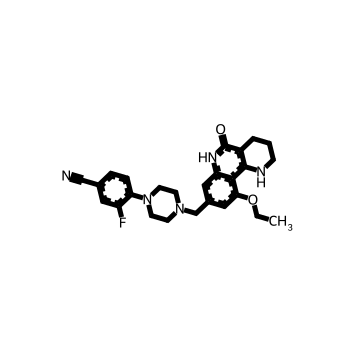 CCOc1cc(CN2CCN(c3ccc(C#N)cc3F)CC2)cc2[nH]c(=O)c3c(c12)NCCC3